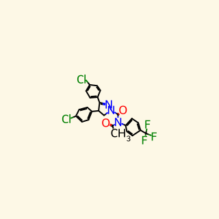 CC(=O)N(C(=O)N1CC(c2ccc(Cl)cc2)C(c2ccc(Cl)cc2)=N1)c1ccc(C(F)(F)F)cc1